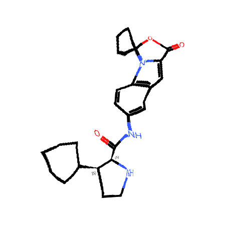 O=C1OC2(CCC2)n2c1cc1cc(NC(=O)[C@H]3NCC[C@H]3C3CCCCC3)ccc12